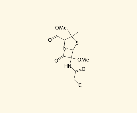 COC(=O)C1N2C(=O)C(NC(=O)CCl)(OC)C2SC1(C)C